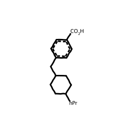 CCCC1CCC(Cc2ccc(C(=O)O)cc2)CC1